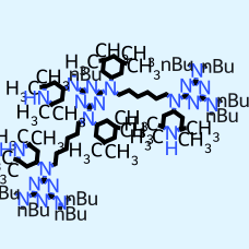 CCCCN(CCCC)c1nc(N(CCCC)CCCC)nc(N(CCCCCCN(c2nc(N(CCCCCCN(c3nc(N(CCCC)CCCC)nc(N(CCCC)CCCC)n3)C3CC(C)(C)NC(C)(C)C3)C3CC(C)(C)CC(C)(C)C3)nc(N(CCCC)C3CC(C)(C)NC(C)(C)C3)n2)C2CC(C)(C)CC(C)(C)C2)C2CC(C)(C)NC(C)(C)C2)n1